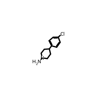 NN1CCC(c2ccc(Cl)cc2)CC1